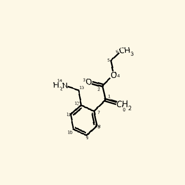 C=C(C(=O)OCC)c1ccccc1CN